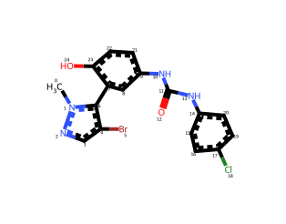 Cn1ncc(Br)c1-c1cc(NC(=O)Nc2ccc(Cl)cc2)ccc1O